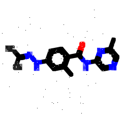 Cc1cncc(NC(=O)c2ccc(NN=C(C#N)C#N)cc2C)n1